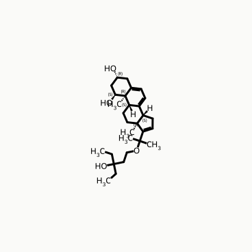 CCC(O)(CC)CCOC(C)(C)C1=CC[C@H]2C3=CC=C4C[C@@H](O)C[C@H](O)[C@]4(C)[C@H]3CC[C@]12C